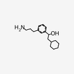 NCCCc1cccc(C(O)CC2CCCCC2)c1